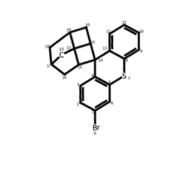 Brc1ccc2c(c1)Sc1ccccc1C21C2CC3CC4CC1C42C3